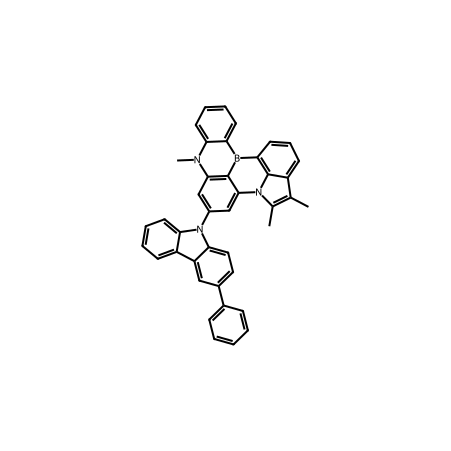 Cc1c(C)n2c3c(cccc13)B1c3ccccc3N(C)c3cc(-n4c5ccccc5c5cc(-c6ccccc6)ccc54)cc-2c31